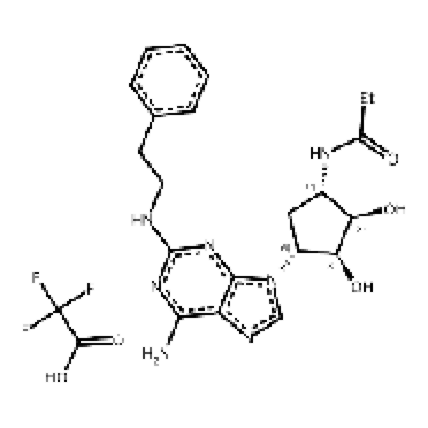 CCC(=O)N[C@H]1C[C@@H](n2cnc3c(N)nc(NCCc4ccccc4)nc32)[C@H](O)[C@@H]1O.O=C(O)C(F)(F)F